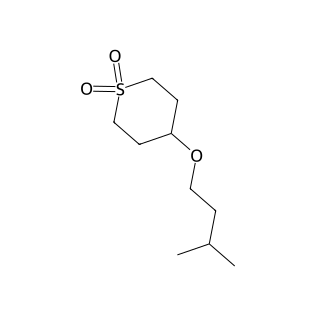 CC(C)CCOC1CCS(=O)(=O)CC1